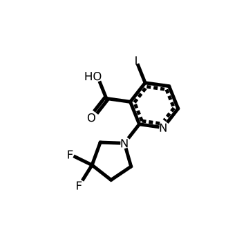 O=C(O)c1c(I)ccnc1N1CCC(F)(F)C1